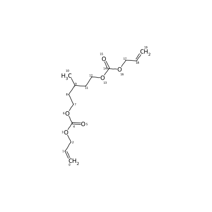 C=CCOC(=O)OCC[C](C)CCOC(=O)OCC=C